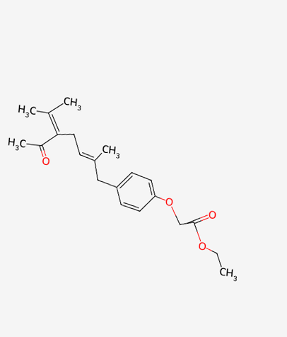 CCOC(=O)COc1ccc(C/C(C)=C/CC(C(C)=O)=C(C)C)cc1